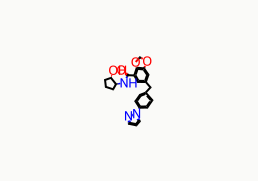 O=C(N[C@H]1CCC[C@@H]1O)c1cc(Cc2ccc(-n3cccn3)cc2)cc2c1OCO2